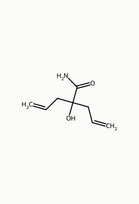 C=CCC(O)(CC=C)C(N)=O